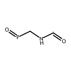 O=[C]NCP=O